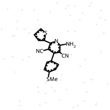 CSc1ccc(-c2c(C#N)c(N)nc(-c3cccs3)c2C#N)cc1